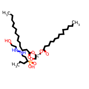 CCCCCCCCCCCCCC(=O)OC[C@H](COP(=O)(O)C(CCC)CCNNCCO)OC(=O)CCCCCCCCCCCCC